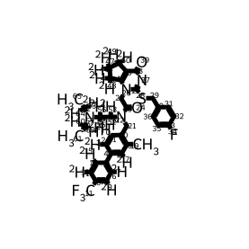 [2H]c1c([2H])c(-c2c([2H])c([2H])c(C(F)(F)F)c([2H])c2[2H])c([2H])c(C)c1CN(C(=O)Cn1c(SCc2ccc(F)cc2)nc(=O)c2c1C([2H])([2H])C([2H])([2H])C2([2H])[2H])C([2H])([2H])C([2H])([2H])N(C([2H])([2H])C)C([2H])([2H])C